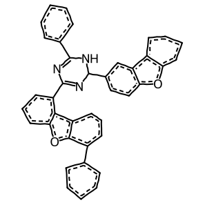 c1ccc(C2=NC(c3cccc4oc5c(-c6ccccc6)cccc5c34)=NC(c3ccc4oc5ccccc5c4c3)N2)cc1